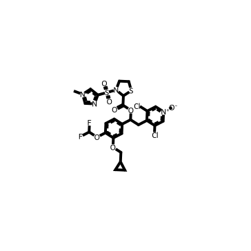 Cn1cnc(S(=O)(=O)N2CCSC2C(=O)OC(Cc2c(Cl)c[n+]([O-])cc2Cl)c2ccc(OC(F)F)c(OCC3CC3)c2)c1